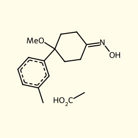 CC(=O)O.COC1(c2cccc(C)c2)CCC(=NO)CC1